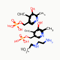 Cc1ncc(COP(=O)(O)O)c(C=O)c1O.Cc1ncc(COP(=O)(O)O)c(C=O)c1O.NCCNCC(=O)O